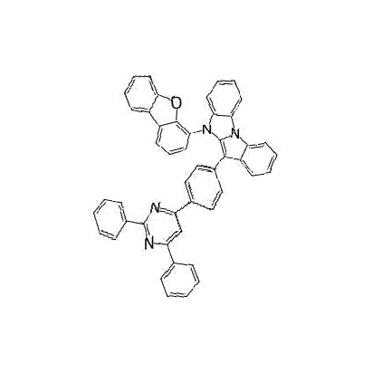 c1ccc(-c2cc(-c3ccc(-c4c5ccccc5n5c6ccccc6n(-c6cccc7c6oc6ccccc67)c45)cc3)nc(-c3ccccc3)n2)cc1